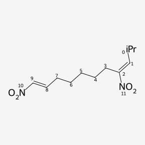 CC(C)C=C(CCCCCC=C[N+](=O)[O-])[N+](=O)[O-]